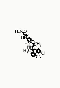 CC(NC(=O)C(C)(C)Oc1ccc(NC(=O)CC(N)=O)cn1)C(Cc1ccc(Cl)cc1)c1cccc(C#N)c1